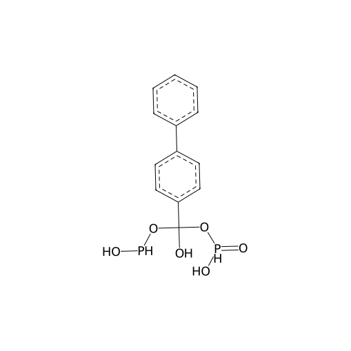 O=[PH](O)OC(O)(OPO)c1ccc(-c2ccccc2)cc1